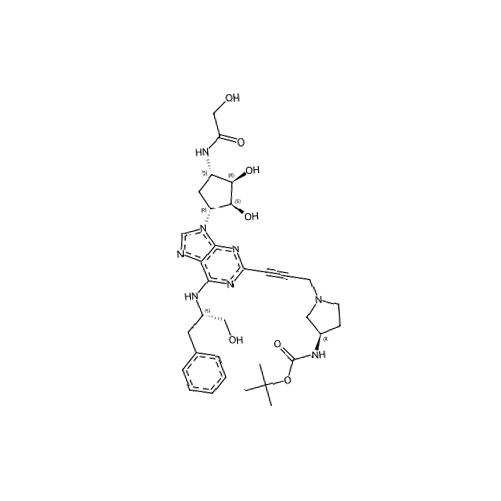 CC(C)(C)OC(=O)N[C@@H]1CCN(CC#Cc2nc(N[C@H](CO)Cc3ccccc3)c3ncn([C@@H]4C[C@H](NC(=O)CO)[C@@H](O)[C@H]4O)c3n2)C1